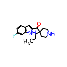 CCCC1(C(=O)c2cc3ccc(F)cc3[nH]2)CCNCC1